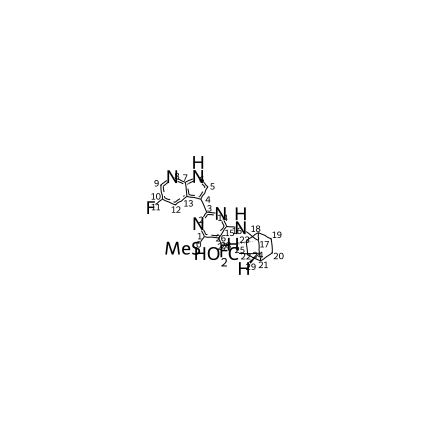 CSc1nc(-c2c[nH]c3ncc(F)cc23)nc(N[C@H]2C3CCC(CC3)[C@@H]2C(=O)O)c1F